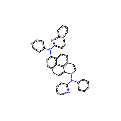 C1=CC(N(c2ccccc2)c2ccccn2)C2=CCc3ccc(N(c4ccccc4)c4ccc5ccccc5n4)c4ccc1c2c34